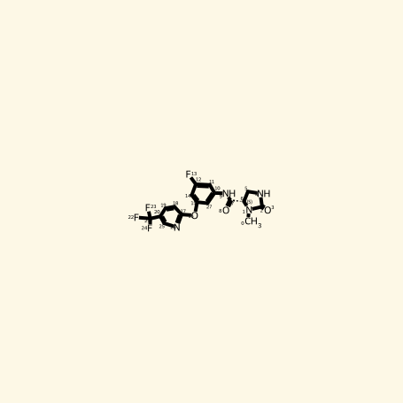 CN1C(=O)NC[C@H]1C(=O)Nc1cc(F)cc(Oc2ccc(C(F)(F)F)cn2)c1